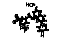 Cc1cc(NC(C)c2cc([N+](=O)[O-])cc(C(F)(F)F)c2)c2cc(N3CCNCC3)ccc2n1.Cl